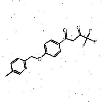 Cc1ccc(COc2ccc(C(=O)CC(=O)C(F)(F)F)cc2)cc1